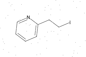 ICCc1ccccn1